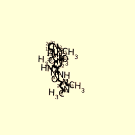 Cc1cc(C(=O)Nc2n[nH]c3c2CN(C(=O)N2C[C@@H]4CCCN4C[C@@H]2C)C3(C)C)nc(C)n1